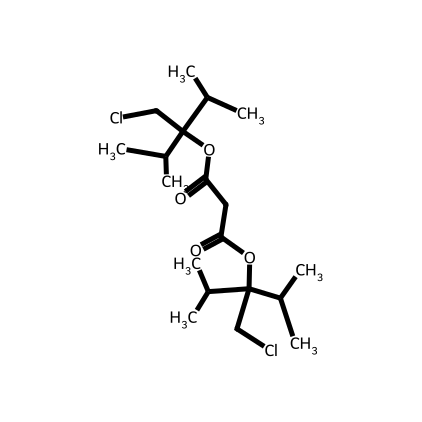 CC(C)C(CCl)(OC(=O)CC(=O)OC(CCl)(C(C)C)C(C)C)C(C)C